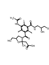 CC(=O)Nc1c(I)c(C(=O)NCC(O)CO)c(I)c(C(=O)N2CC(CO)OC2(C)CC(=O)O)c1I